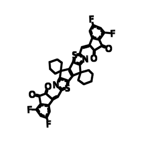 O=C1C(=O)c2c(F)cc(F)cc2/C1=C/c1nc2c(s1)C1=C(c3sc(/C=C4\C(=O)C(=O)c5c(F)cc(F)cc54)nc3C13CCCCC3)C21CCCCC1